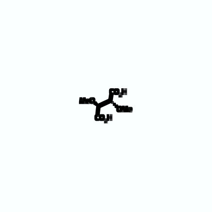 CO[C@@H](C(=O)O)[C@@H](OC)C(=O)O